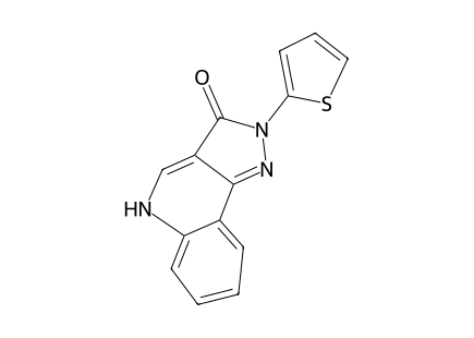 O=c1c2c[nH]c3ccccc3c-2nn1-c1cccs1